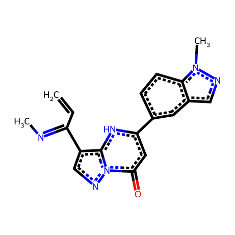 C=C/C(=N\C)c1cnn2c(=O)cc(-c3ccc4c(cnn4C)c3)[nH]c12